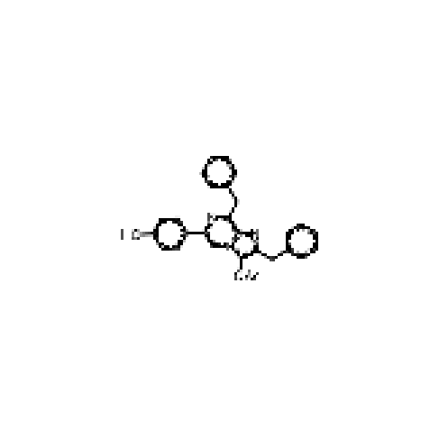 CC(=O)Oc1c(Cc2ccccc2)nc2c(Cc3ccccc3)nc(-c3ccc(O)cc3)cn12